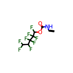 C=CNC(=O)OC(F)C(F)(F)C(F)(F)C(F)C(F)F